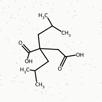 CC(C)CC(CC(=O)O)(CC(C)C)C(=O)O